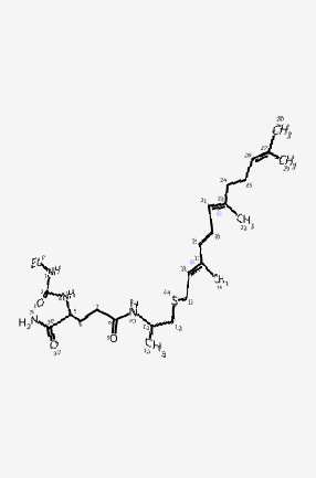 CCNC(=O)NC(CCC(=O)NC(C)CSC/C=C(\C)CC/C=C(\C)CCC=C(C)C)C(N)=O